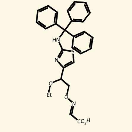 CCOC(CON=CC(=O)O)c1csc(NC(c2ccccc2)(c2ccccc2)c2ccccc2)n1